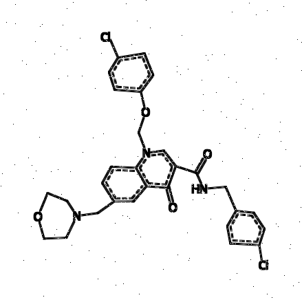 O=C(NCc1ccc(Cl)cc1)c1cn(COc2ccc(Cl)cc2)c2ccc(CN3CCOCC3)cc2c1=O